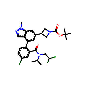 CC(C)N(CC(F)F)C(=O)c1cc(F)ccc1-c1cc(C2CN(C(=O)OC(C)(C)C)C2)cc2c1cnn2C